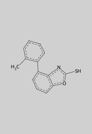 Cc1ccccc1-c1cccc2oc(S)nc12